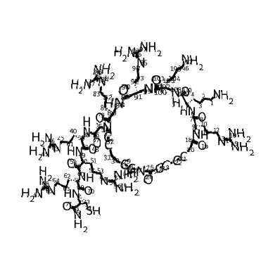 NCCCC[C@@H]1NC(=O)[C@H](CCCN=C(N)N)NC(=O)CCCCCC(=O)NCCCCCCN(CC(=O)N[C@@H](CCCN=C(N)N)C(=O)N[C@@H](CCCN=C(N)N)C(=O)N[C@@H](CCCN=C(N)N)C(=O)N[C@@H](CS)C(N)=O)C(=O)[C@H](CCCN=C(N)N)NC(=O)[C@H](CCCN=C(N)N)NC(=O)[C@H](CCCCN)NC1=O